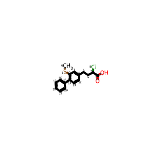 CSc1cc(CCC(Cl)C(=O)O)ccc1-c1ccccc1